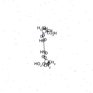 C=C(C(=O)O)[C@@H]1CC/C(COC(=O)CCC(=O)NCCCCCCCCCNC(=O)CCC(=O)OC/C2=C/CC[C@@]3(C)O[C@H]3C[C@H](C(=C)C(=O)O)CC2)=C\CC[C@@]2(C)O[C@H]2C1